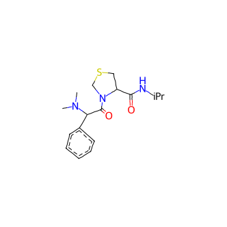 CC(C)NC(=O)C1CSCN1C(=O)C(c1ccccc1)N(C)C